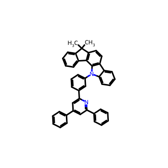 CC1(C)c2ccccc2-c2c1ccc1c3ccccc3n(-c3cccc(-c4cc(-c5ccccc5)cc(-c5ccccc5)n4)c3)c21